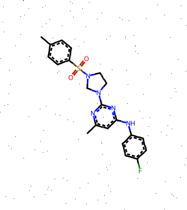 Cc1ccc(S(=O)(=O)N2CCN(c3nc(C)cc(Nc4ccc(F)cc4)n3)C2)cc1